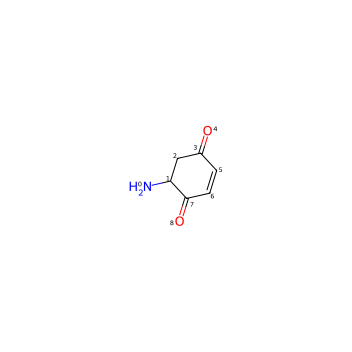 NC1CC(=O)C=CC1=O